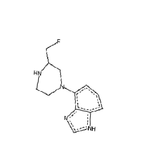 FCC1CN(c2cccc3[nH]cnc23)CCN1